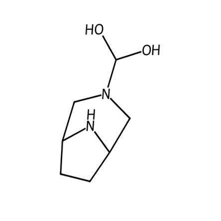 OC(O)N1CC2CCC(C1)N2